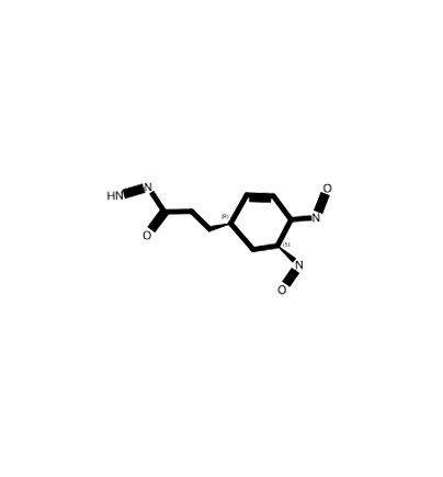 N=NC(=O)CC[C@H]1C=CC(N=O)[C@@H](N=O)C1